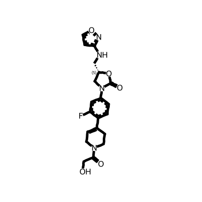 O=C(CO)N1CC=C(c2ccc(N3C[C@H](CNc4ccon4)OC3=O)cc2F)CC1